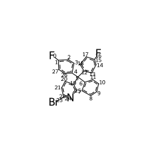 Fc1ccc(C(c2ccccc2)(c2ccc(F)cc2)c2ccc(Br)nc2)cc1